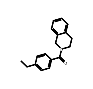 CCc1ccc(C(=O)N2CCc3cc[c]cc3C2)cc1